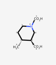 C[C@@H]1CCN(C(=O)O)C[C@H]1C(=O)O